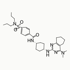 CCCN(CCC)S(=O)(=O)c1ccc(C(=O)N[C@H]2CC[C@@H](Nc3nc4c(c(N(C)C)n3)CCCC4)CC2)cc1